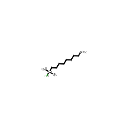 CCCCCCCCCCCCCCCCCC[Si](Cl)(C(C)(C)C)C(C)(C)C